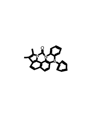 Cc1c(C)n2c(=O)n3c4c(ccc5ccc1c2c54)B(c1ccccc1)c1ccccc1-3